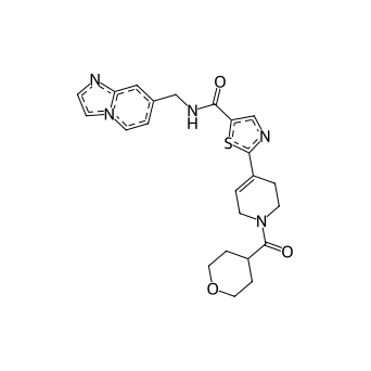 O=C(NCc1ccn2ccnc2c1)c1cnc(C2=CCN(C(=O)C3CCOCC3)CC2)s1